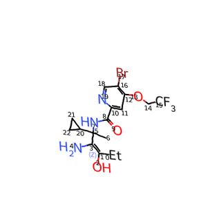 CC/C(O)=C(/N)C(C)(NC(=O)c1cc(OCC(F)(F)F)c(Br)cn1)C1CC1